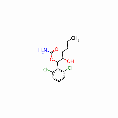 CCCCC(O)C(OC(N)=O)c1c(Cl)cccc1Cl